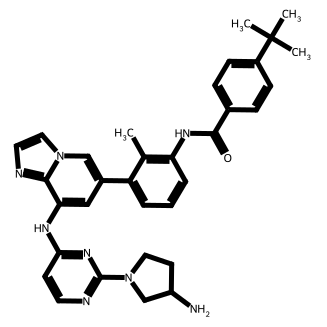 Cc1c(NC(=O)c2ccc(C(C)(C)C)cc2)cccc1-c1cc(Nc2ccnc(N3CCC(N)C3)n2)c2nccn2c1